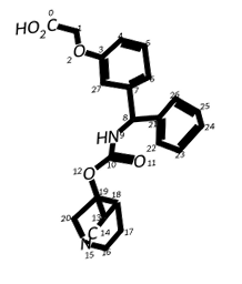 O=C(O)COc1cccc(C(NC(=O)OC2CN3CCC2CC3)c2ccccc2)c1